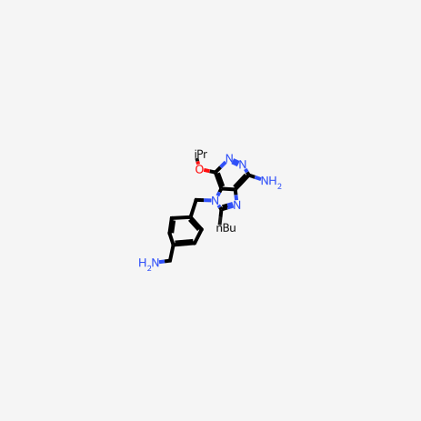 CCCCc1nc2c(N)nnc(OC(C)C)c2n1Cc1ccc(CN)cc1